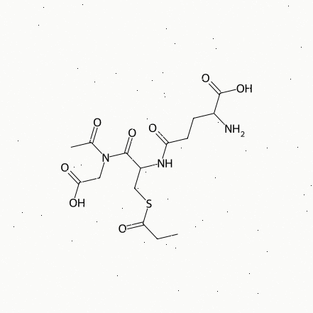 CCC(=O)SCC(NC(=O)CCC(N)C(=O)O)C(=O)N(CC(=O)O)C(C)=O